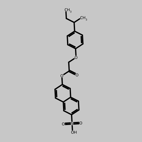 CCC(C)c1ccc(OCC(=O)Oc2ccc3cc(S(=O)(=O)O)ccc3c2)cc1